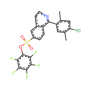 Cc1cc(-c2nccc3cc(S(=O)(=O)Oc4c(F)c(F)c(F)c(F)c4F)ccc23)c(C)cc1Cl